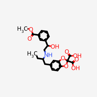 CCC(Cc1ccc2c(c1)OC(C(=O)O)(C(=O)O)O2)NCC(O)c1cccc(C(=O)OC)c1